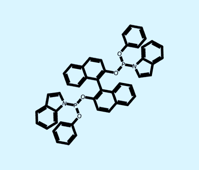 c1ccc(OP(Oc2ccc3ccccc3c2-c2c(OP(Oc3ccccc3)n3ccc4ccccc43)ccc3ccccc23)n2ccc3ccccc32)cc1